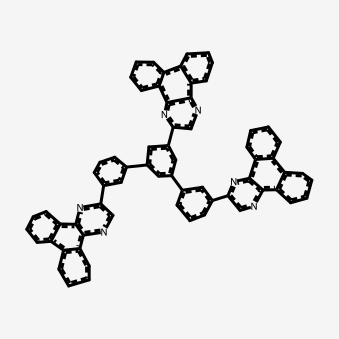 c1cc(-c2cc(-c3cccc(-c4cnc5c6ccccc6c6ccccc6c5n4)c3)cc(-c3cnc4c5ccccc5c5ccccc5c4n3)c2)cc(-c2cnc3c4ccccc4c4ccccc4c3n2)c1